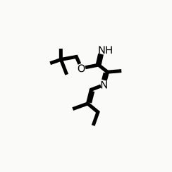 CC/C(C)=C\N=C(\C)C(=N)OCC(C)(C)C